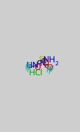 Cl.N[C@H]1CSc2ccc(C(=O)NCCCC(F)(F)F)cc2N(Cc2ccc(OC(F)(F)F)cc2)C1=O